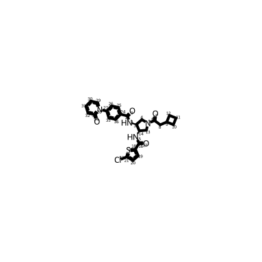 O=C(N[C@H]1CN(C(=O)CC2CCC2)C[C@H]1NC(=O)c1ccc(Cl)s1)c1ccc(-n2ccccc2=O)cc1